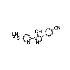 N#Cc1ccc(-c2cnn(-c3ccc(SN)cn3)c2O)cc1